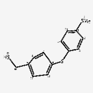 CSc1ccc(Sc2ccc(CS)cc2)cc1